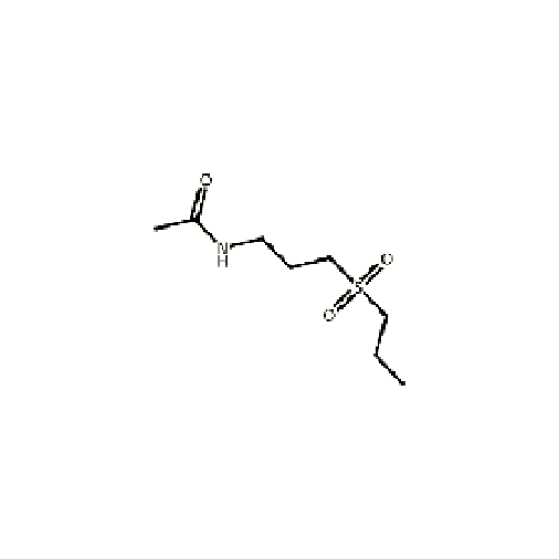 CCCS(=O)(=O)CCCNC(C)=O